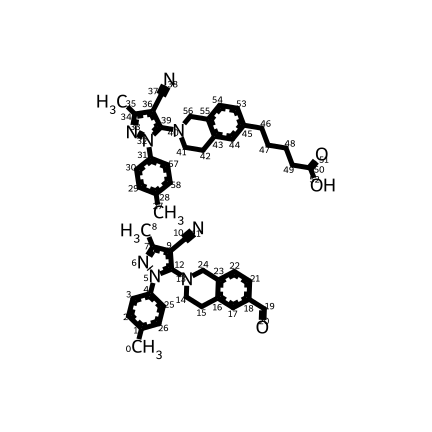 Cc1ccc(-n2nc(C)c(C#N)c2N2CCc3cc(C=O)ccc3C2)cc1.Cc1ccc(-n2nc(C)c(C#N)c2N2CCc3cc(CCCCC(=O)O)ccc3C2)cc1